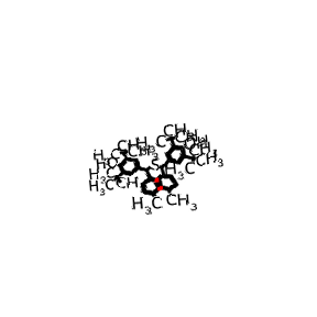 Cc1ccc(C(SC(c2ccc(C)cc2)c2cc(C(C)(C)C)c(O)c(C(C)(C)C)c2)c2cc(C(C)(C)C)c(O)c(C(C)(C)C)c2)cc1